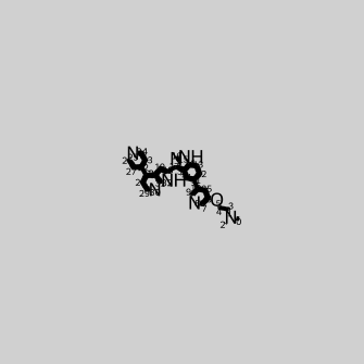 CN(C)CCOc1cncc(-c2ccc3[nH]nc(-c4cc5c(-c6ccncc6)ccnc5[nH]4)c3c2)c1